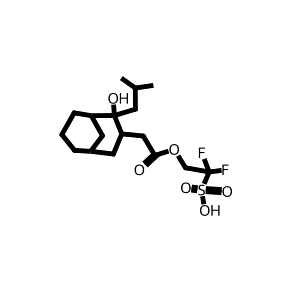 CC(C)CC1(O)C2CCCC(C2)CC1CC(=O)OCC(F)(F)S(=O)(=O)O